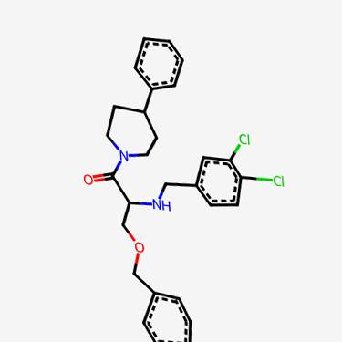 O=C(C(COCc1ccccc1)NCc1ccc(Cl)c(Cl)c1)N1CCC(c2ccccc2)CC1